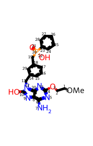 COCCOc1nc(N)c2nc(O)n(Cc3cccc(CP(=O)(O)c4ccccc4)c3)c2n1